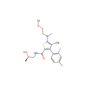 CCOCCN(C)c1sc(C(=O)NC[C@@H](C)O)c(-c2ccc(C)cc2I)c1C#N